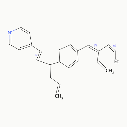 C=CCC(/C=C/c1ccncc1)C1C=CC(/C=C(C=C)/C=C\CC)=CC1